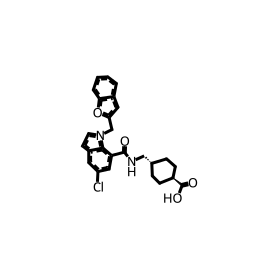 O=C(NC[C@H]1CC[C@H](C(=O)O)CC1)c1cc(Cl)cc2ccn(Cc3cc4ccccc4o3)c12